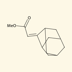 COC(=O)C=C1C2CC3CC(C2)CC1C3